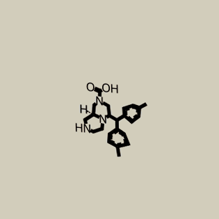 Cc1ccc(C(c2ccc(C)cc2)C2CN(C(=O)O)C[C@@H]3CNCCN23)cc1